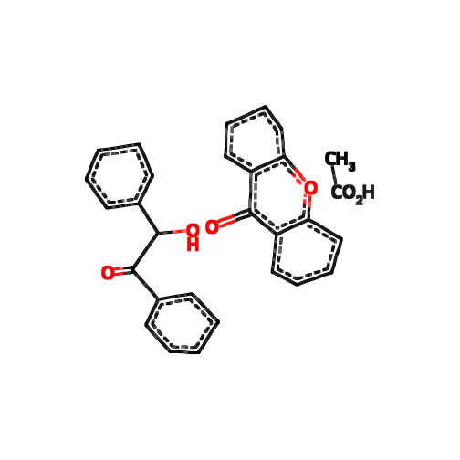 CC(=O)O.O=C(c1ccccc1)C(O)c1ccccc1.O=c1c2ccccc2oc2ccccc12